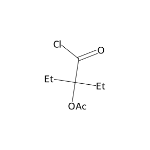 CCC(CC)(OC(C)=O)C(=O)Cl